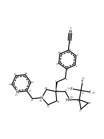 N#Cc1ccc(CC[C@@]2(CNC3(C(F)(F)F)CC3)CCN(Cc3ccccn3)C2)cc1